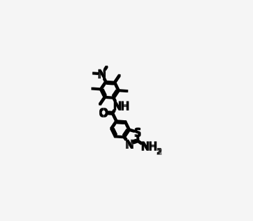 Cc1c(C)c(N(C)C)c(C)c(C)c1NC(=O)c1ccc2nc(N)sc2c1